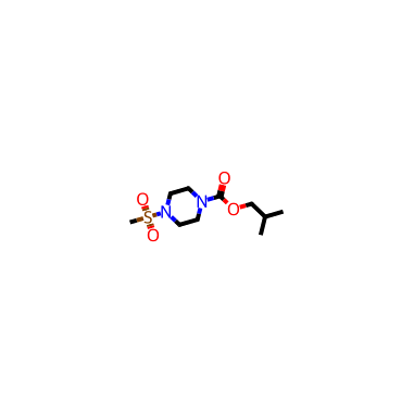 CC(C)COC(=O)N1CCN(S(C)(=O)=O)CC1